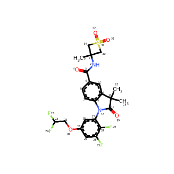 CC1(NC(=O)c2ccc3c(c2)C(C)(C)C(=O)N3c2cc(OCC(F)F)cc(F)c2F)CS(=O)(=O)C1